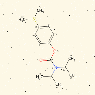 CC(C)N(C(=O)Oc1ccc([S+](C)C)cc1)C(C)C